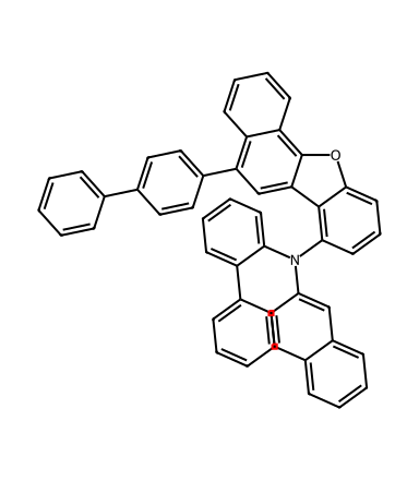 c1ccc(-c2ccc(-c3cc4c(oc5cccc(N(c6ccc7ccccc7c6)c6ccccc6-c6ccccc6)c54)c4ccccc34)cc2)cc1